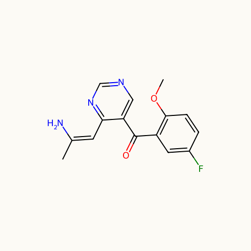 COc1ccc(F)cc1C(=O)c1cncnc1C=C(C)N